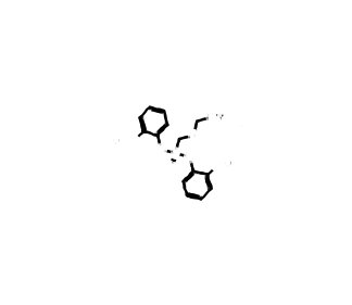 COc1ccccc1OP(=O)(CNCC#N)Oc1ccccc1OC.CS(=O)(=O)O